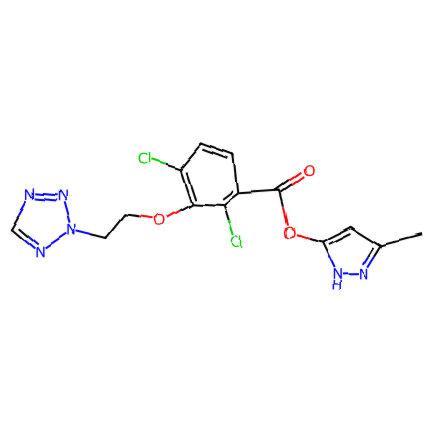 Cc1cc(OC(=O)c2ccc(Cl)c(OCCn3ncnn3)c2Cl)[nH]n1